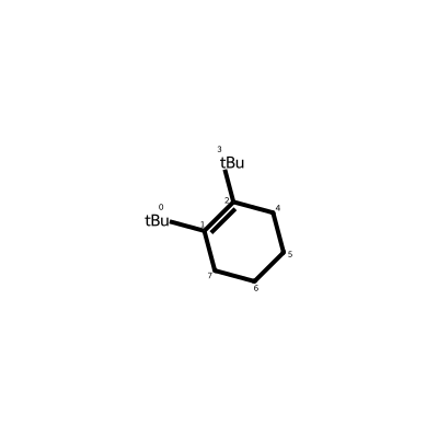 CC(C)(C)C1=C(C(C)(C)C)CCCC1